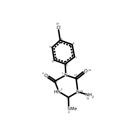 CSC1NC(=O)N(c2ccc(Cl)cc2)C(=O)N1N